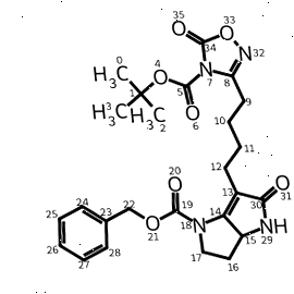 CC(C)(C)OC(=O)n1c(CCCCC2=C3C(CCN3C(=O)OCc3ccccc3)NC2=O)noc1=O